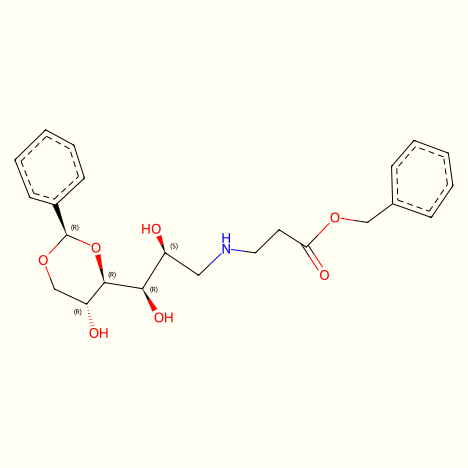 O=C(CCNC[C@H](O)[C@@H](O)[C@@H]1O[C@H](c2ccccc2)OC[C@H]1O)OCc1ccccc1